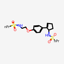 CCCS(=O)(=O)NCCOc1ccc(C2=CCCC2NS(=O)(=O)CCC)cc1